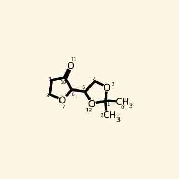 CC1(C)OCC(C2OCCC2=O)O1